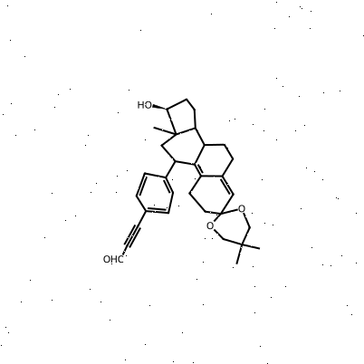 CC1(C)COC2(C=C3CCC4C(=C3CC2)C(c2ccc(C#CC=O)cc2)CC2(C)C4CC[C@@H]2O)OC1